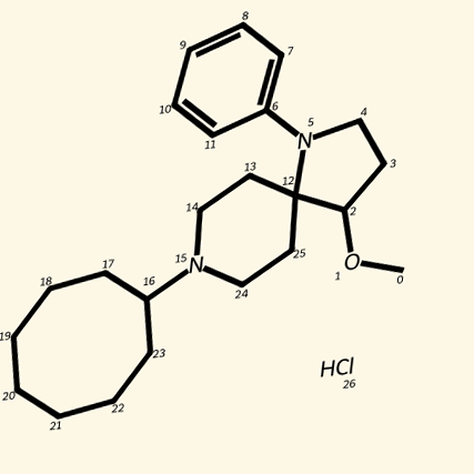 COC1CCN(c2ccccc2)C12CCN(C1CCCCCCC1)CC2.Cl